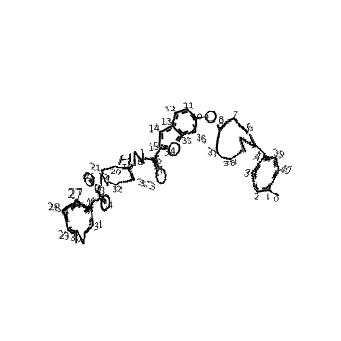 Cc1ccc(N2CCC(Oc3ccc4cc(C(=O)NC5CCN(S(=O)(=O)c6cccnc6)CC5)oc4c3)CC2)cc1